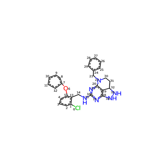 Clc1cccc(Oc2ccccc2)c1CNc1nc2c3c(n1)N(Cc1ccccc1)CCC3NN2